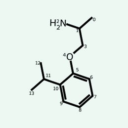 CC(N)COc1ccccc1C(C)C